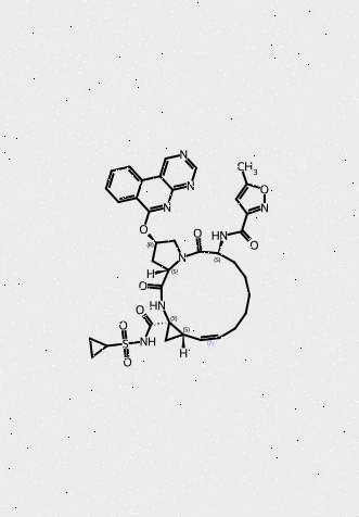 Cc1cc(C(=O)N[C@H]2CCCCC/C=C\[C@@H]3C[C@@]3(C(=O)NS(=O)(=O)C3CC3)NC(=O)[C@@H]3C[C@@H](Oc4nc5ncncc5c5ccccc45)CN3C2=O)no1